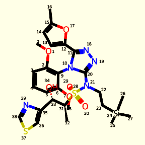 COc1cccc(OC)c1-n1c(-c2ccc(C)o2)nnc1N(CC[Si](C)(C)C)S(=O)(=O)[C@@H](C)[C@@H](O)c1cscn1